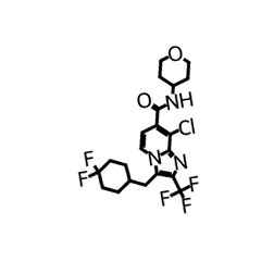 O=C(NC1CCOCC1)c1ccn2c(CC3CCC(F)(F)CC3)c(C(F)(F)F)nc2c1Cl